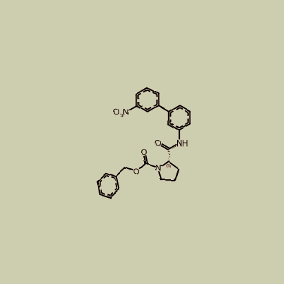 O=C(Nc1cccc(-c2cccc([N+](=O)[O-])c2)c1)[C@@H]1CCCN1C(=O)OCc1ccccc1